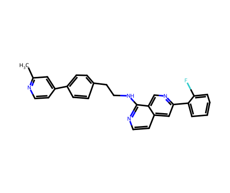 Cc1cc(-c2ccc(CCNc3nccc4cc(-c5ccccc5F)ncc34)cc2)ccn1